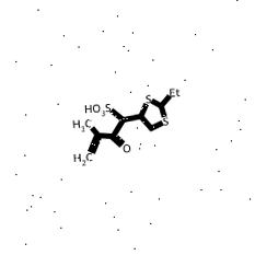 C=C(C)C(=O)C(C1CSC(CC)S1)S(=O)(=O)O